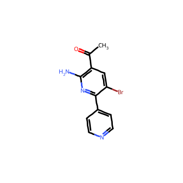 CC(=O)c1cc(Br)c(-c2ccncc2)nc1N